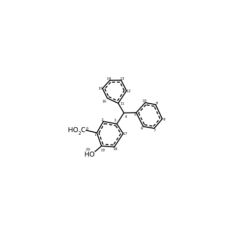 O=C(O)c1cc(C(c2ccccc2)c2ccccc2)ccc1O